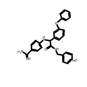 Cl.N=C(N)c1ccc(NC(C(=O)NCc2ccccc2)c2cccc(Oc3ccccc3)c2)cc1